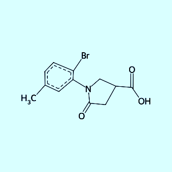 Cc1ccc(Br)c(N2CC(C(=O)O)CC2=O)c1